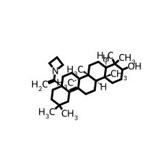 C=C(N1CCC1)[C@]12CCC(C)(C)CC1=C1CC[C@@H]3[C@@]4(C)CCC(O)C(C)(C)[C@@H]4CC[C@@]3(C)[C@]1(C)CC2